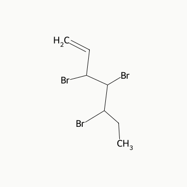 C=CC(Br)C(Br)C(Br)CC